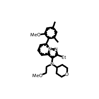 CCc1nn2c(-c3c(C)cc(C)cc3OC)cccc2c1N(CCOC)C1CCOCC1